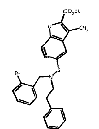 CCOC(=O)c1oc2ccc(SN(CCc3ccccc3)Cc3ccccc3Br)cc2c1C